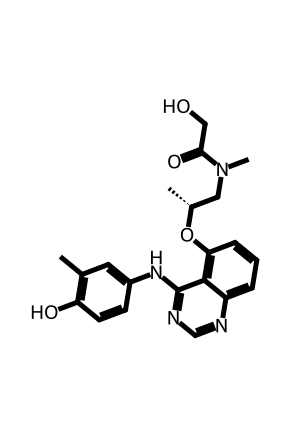 Cc1cc(Nc2ncnc3cccc(O[C@H](C)CN(C)C(=O)CO)c23)ccc1O